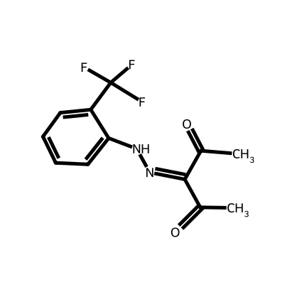 CC(=O)C(=NNc1ccccc1C(F)(F)F)C(C)=O